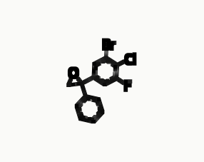 Fc1cc(C2(c3ccccc3)CO2)cc(Br)c1Cl